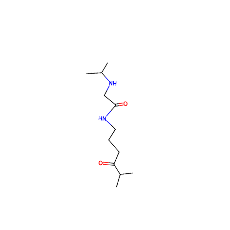 CC(C)NCC(=O)NCCCC(=O)C(C)C